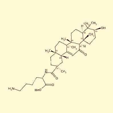 COC(=O)C(CCCCN)NC(=O)[C@@]1(C)CC[C@]2(C)CC[C@]3(C)C(=CC(=O)[C@@H]4[C@@]5(C)CC[C@H](O)C(C)(C)[C@@H]5CC[C@]43C)[C@@H]2C1